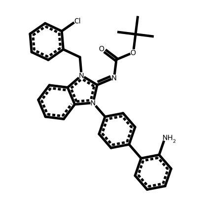 CC(C)(C)OC(=O)/N=c1\n(Cc2ccccc2Cl)c2ccccc2n1-c1ccc(-c2ccccc2N)cc1